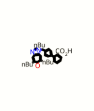 CCCCc1cc2nc(CCCC)n(Cc3ccc(-c4ccccc4C(=O)O)cc3)c2cc(CCCC)c1=O